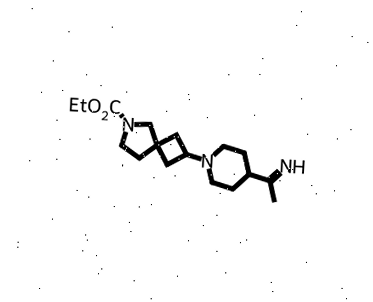 CCOC(=O)N1CCC2(CC(N3CCC(C(C)=N)CC3)C2)C1